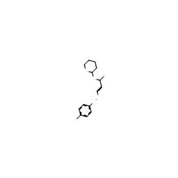 Cc1ccc(S(=O)(=O)OC=CC(C)OC2CCCCO2)cc1